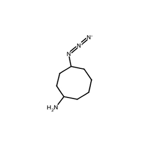 [N-]=[N+]=NC1CCCCC(N)CC1